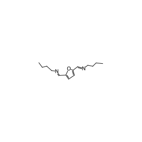 CCCCN=Cc1ccc(C=NCCCC)o1